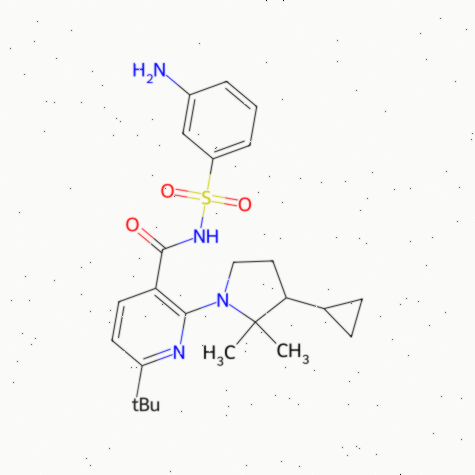 CC(C)(C)c1ccc(C(=O)NS(=O)(=O)c2cccc(N)c2)c(N2CCC(C3CC3)C2(C)C)n1